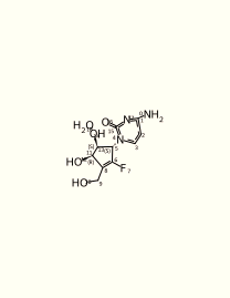 Nc1ccn([C@@H]2C(F)=C(CO)[C@@H](O)[C@H]2O)c(=O)n1.O